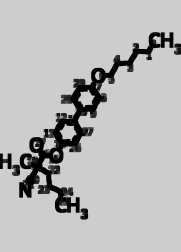 CCCCCCOc1ccc(-c2ccc(OC(=O)C(C)(C#N)CCCC)cc2)cc1